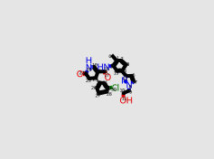 Cc1ccc(-c2ccn(CCO)n2)cc1NC(=O)C1=CNC(=O)C[C@H]1c1cccc(Cl)c1